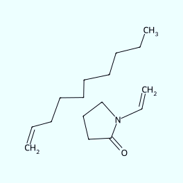 C=CCCCCCCCC.C=CN1CCCC1=O